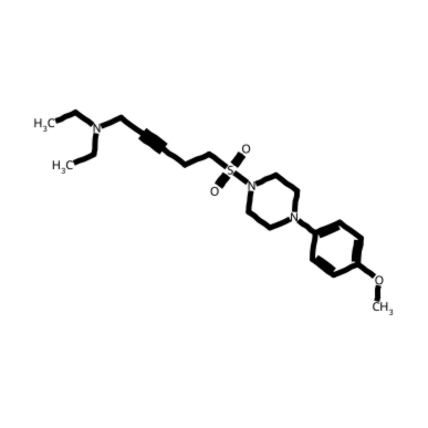 CCN(CC)CC#C[CH]CS(=O)(=O)N1CCN(c2ccc(OC)cc2)CC1